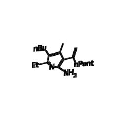 C=C(CCCCC)c1c(N)nc(CC)c(CCCC)c1C